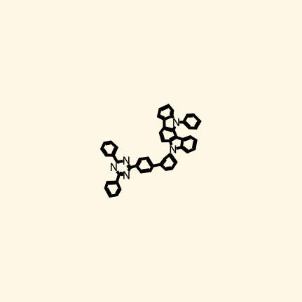 c1ccc(-c2nc(-c3ccccc3)nc(-c3ccc(-c4cccc(-n5c6ccccc6c6c5ccc5c7ccccc7n(-c7ccccc7)c56)c4)cc3)n2)cc1